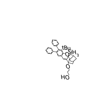 CC(C)(C)c1c(O[SiH3])c(C=C2C3CC4CC(C3)CC2(OCCCO)C4)cc(-c2ccccc2)c1-c1ccccc1